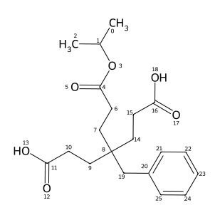 CC(C)OC(=O)CCC(CCC(=O)O)(CCC(=O)O)Cc1ccccc1